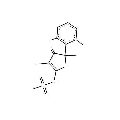 CC1(c2c(F)cccc2Cl)OC(NS(C)(=O)=O)=C(O)C1=O